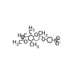 CC(=O)Oc1c(C)c(C)c2c(c1C)CCC(C)(COc1ccc([N+](=O)[O-])cc1)O2